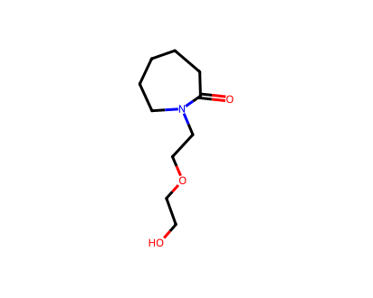 O=C1CCCCCN1CCOCCO